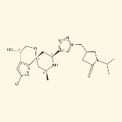 CC(C)N1CC(Cn2cc([C@@H]3C[C@]4(C[C@H](C)N3)OC[C@@H](O)c3cc(Cl)sc34)nn2)CC1=O